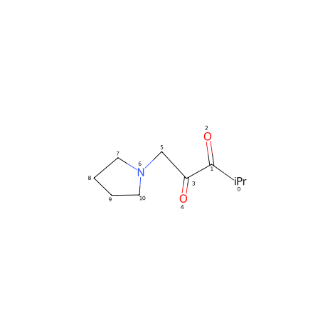 CC(C)C(=O)C(=O)CN1CCCC1